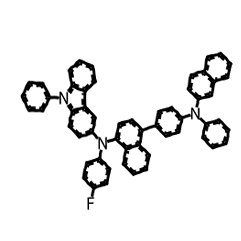 Fc1ccc(N(c2ccc3c(c2)c2ccccc2n3-c2ccccc2)c2ccc(-c3ccc(N(c4ccccc4)c4ccc5ccccc5c4)cc3)c3ccccc23)cc1